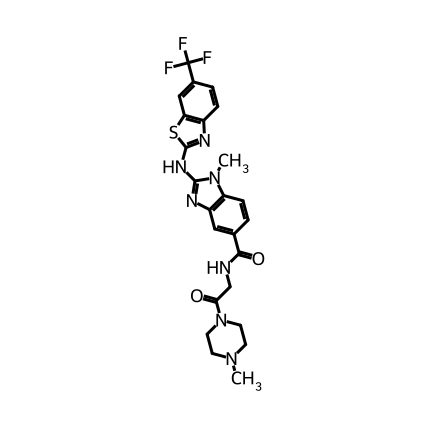 CN1CCN(C(=O)CNC(=O)c2ccc3c(c2)nc(Nc2nc4ccc(C(F)(F)F)cc4s2)n3C)CC1